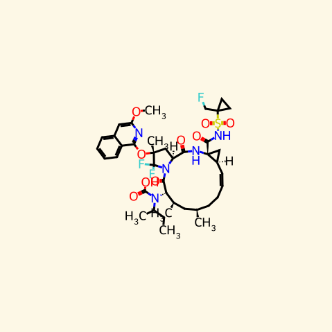 CCC(C)N(C(=O)O)[C@@H]1C(=O)N2[C@@H](C[C@@](C)(Oc3nc(OC)cc4ccccc34)C2(F)F)C(=O)N[C@]2(C(=O)NS(=O)(=O)C3(CF)CC3)C[C@H]2/C=C\CC[C@@H](C)C[C@H]1C